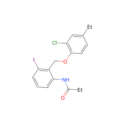 CCC(=O)Nc1cccc(I)c1COc1ccc(CC)cc1Cl